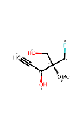 C#C[C@H](O)[C@](CO)(CF)OC